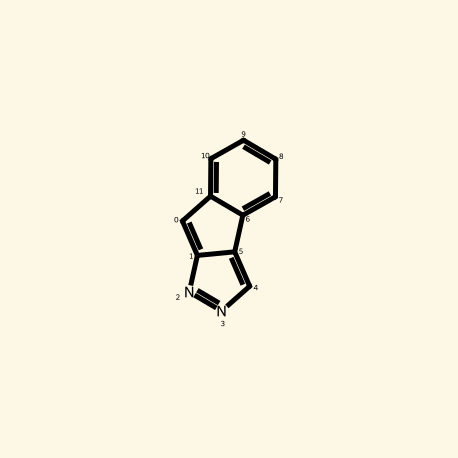 C1=C2N=NC=C2c2ccccc21